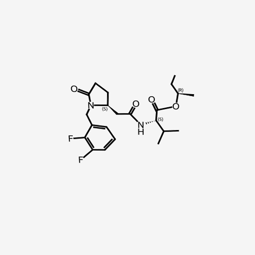 CC[C@@H](C)OC(=O)[C@@H](NC(=O)C[C@@H]1CCC(=O)N1Cc1cccc(F)c1F)C(C)C